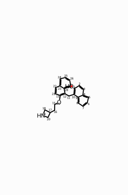 Oc1ccc2ccccc2c1Cc1c(OCCC2CNC2)ccc2ccccc12